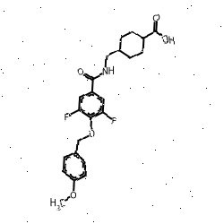 COc1ccc(COc2c(F)cc(C(=O)NCC3CCC(C(=O)O)CC3)cc2F)cc1